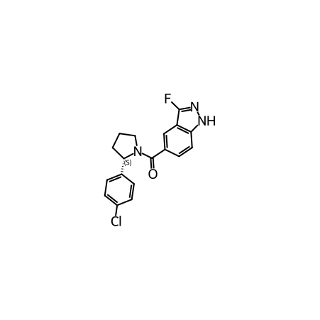 O=C(c1ccc2[nH]nc(F)c2c1)N1CCC[C@H]1c1ccc(Cl)cc1